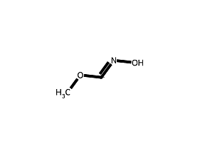 CO[C]=NO